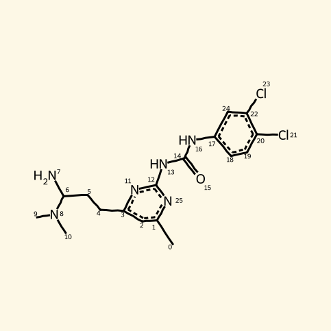 Cc1cc(CCC(N)N(C)C)nc(NC(=O)Nc2ccc(Cl)c(Cl)c2)n1